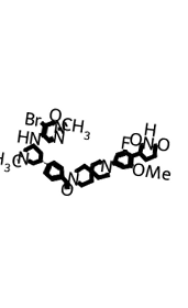 COc1cc(N2CCC3(CCN(C(=O)c4ccc([C@H]5C[C@@H](Nc6cnn(C)c(=O)c6Br)CN(C)C5)cc4)CC3)CC2)cc(F)c1C1CCC(=O)NC1=O